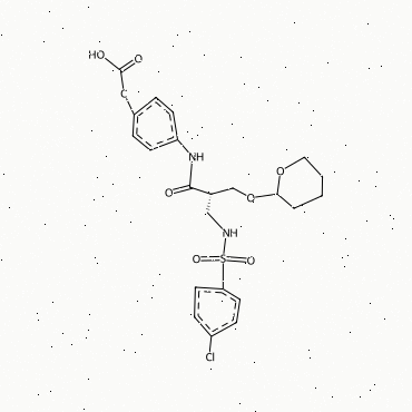 O=C(O)Cc1ccc(NC(=O)[C@@H](CNS(=O)(=O)c2ccc(Cl)cc2)COC2CCCCO2)cc1